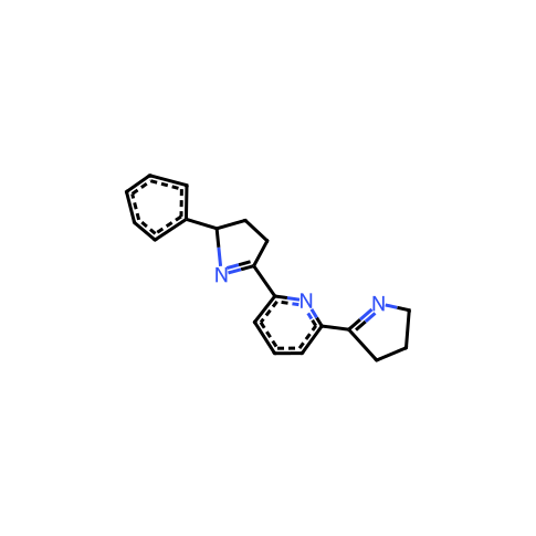 c1ccc(C2CCC(c3cccc(C4=NCCC4)n3)=N2)cc1